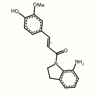 COc1cc(/C=C/C(=O)N2CCc3cccc(N)c32)ccc1O